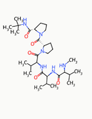 CN[C@H](C(=O)N[C@H](C(=O)N[C@H](C(=O)N1CCC[C@H]1C(=O)N1CCC[C@H]1C(=O)NC(C)(C)C)C(C)C)C(C)C)C(C)C